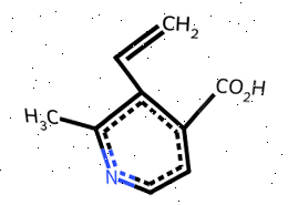 C=Cc1c(C(=O)O)ccnc1C